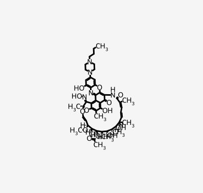 CCCCN1CCN(c2cc(O)c3nc4c5c6c7c(C)c(O)c5c(=O)c(c-4oc3c2)NC(=O)/C(C)=C\C=C\[C@H](C)[C@H](O)[C@@H](C)[C@@H](O)[C@@H](C)[C@H](OC(C)=O)[C@H](C)[C@@H](OC)/C=C/O[C@@](C)(O7)/C6=N\O)CC1